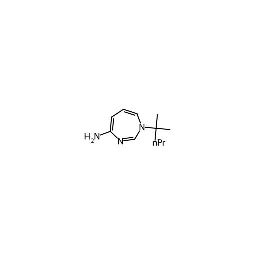 CCCC(C)(C)N1C=CC=C(N)N=C1